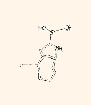 OB(O)c1cc2c(Cl)cccc2[nH]1